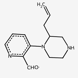 C=CCC1CNCCN1c1cccnc1[C]=O